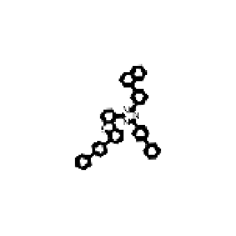 c1ccc(-c2ccc(-c3nc(-c4cccc(-c5cccc6ccccc56)c4)nc(-c4cccc5sc6c(-c7ccc(-c8ccccc8)cc7)cccc6c45)n3)cc2)cc1